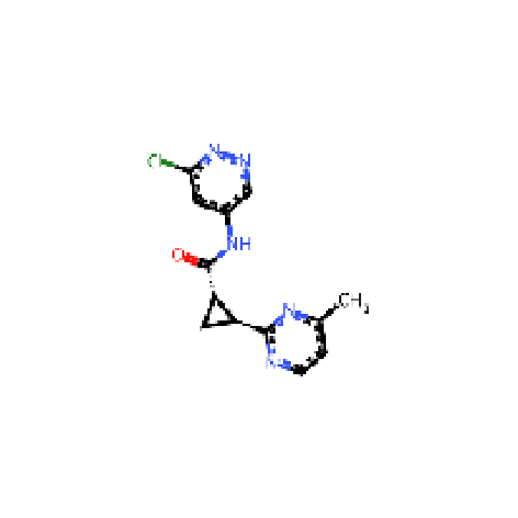 Cc1ccnc([C@H]2C[C@@H]2C(=O)Nc2cnnc(Cl)c2)n1